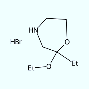 Br.CCOC1(CC)CNCCO1